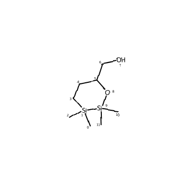 C[Si]1(C)CCC(CO)O[Si]1(C)C